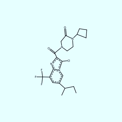 CCC(C)c1cc(C(F)(F)F)c2nc(C(=O)N3CCN(C4CCC4)C(=O)C3)c(Cl)n2c1